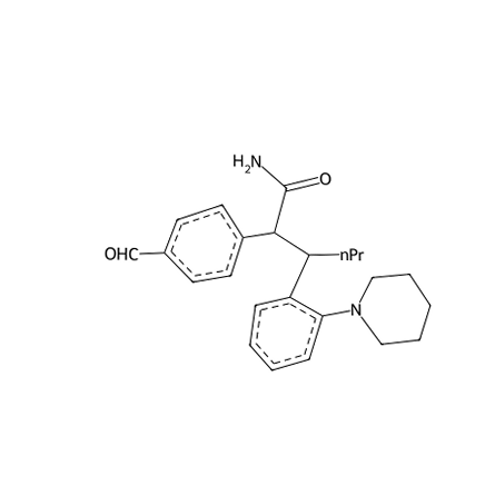 CCCC(c1ccccc1N1CCCCC1)C(C(N)=O)c1ccc(C=O)cc1